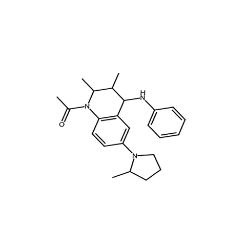 CC(=O)N1c2ccc(N3CCCC3C)cc2C(Nc2ccccc2)C(C)C1C